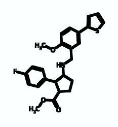 COC(=O)C1CCC(NCc2cc(-c3cccs3)ccc2OC)C1c1ccc(F)cc1